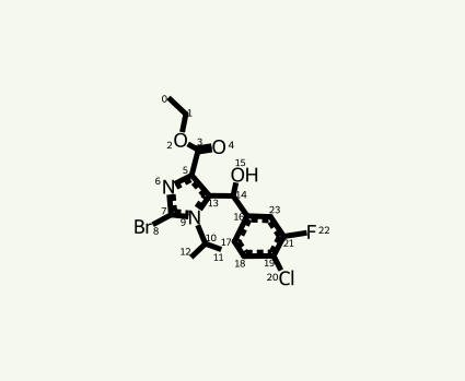 CCOC(=O)c1nc(Br)n(C(C)C)c1C(O)c1ccc(Cl)c(F)c1